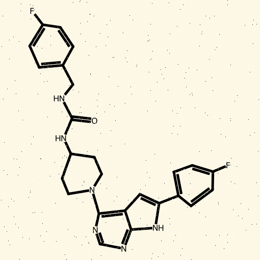 O=C(NCc1ccc(F)cc1)NC1CCN(c2ncnc3[nH]c(-c4ccc(F)cc4)cc23)CC1